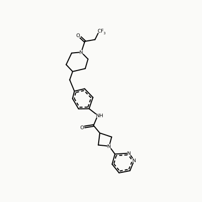 O=C(Nc1ccc(CC2CCN(C(=O)CC(F)(F)F)CC2)cc1)C1CN(c2cccnn2)C1